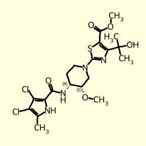 COC(=O)c1sc(N2CC[C@@H](NC(=O)c3[nH]c(C)c(Cl)c3Cl)[C@@H](OC)C2)nc1C(C)(C)O